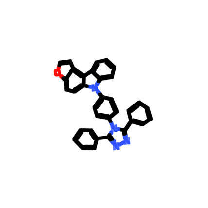 c1ccc(-c2nnc(-c3ccccc3)n2-c2ccc(-n3c4ccccc4c4c5ccoc5ccc43)cc2)cc1